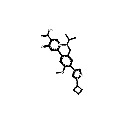 COc1cc2c(cc1-c1cnn(C3CCC3)c1)CN(C(C)C)n1cc(C(=O)O)c(=O)cc1-2